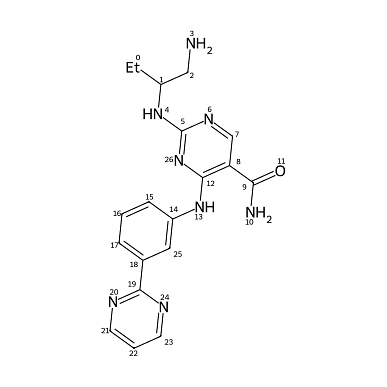 CCC(CN)Nc1ncc(C(N)=O)c(Nc2cccc(-c3ncccn3)c2)n1